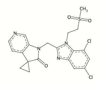 CS(=O)(=O)CCn1c(CN2C(=O)C3(CC3)c3ccncc32)nc2cc(Cl)cc(Cl)c21